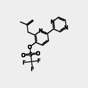 C=C(C)Cc1nc(-c2cnccn2)ccc1OS(=O)(=O)C(F)(F)F